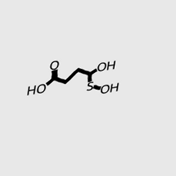 O=C(O)CCC(O)SO